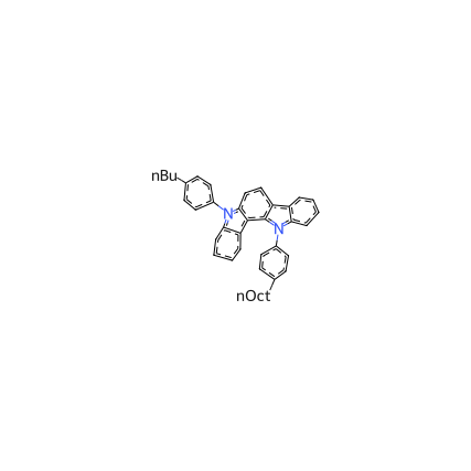 CCCCCCCCc1ccc(-n2c3ccccc3c3ccc4c(c5ccccc5n4-c4ccc(CCCC)cc4)c32)cc1